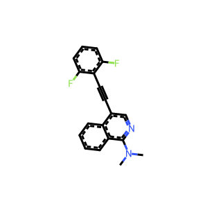 CN(C)c1ncc(C#Cc2c(F)cccc2F)c2ccccc12